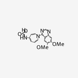 COc1cc2ncnc(N3C=CC=C(N[SH](=O)=O)C=C3)c2cc1OC